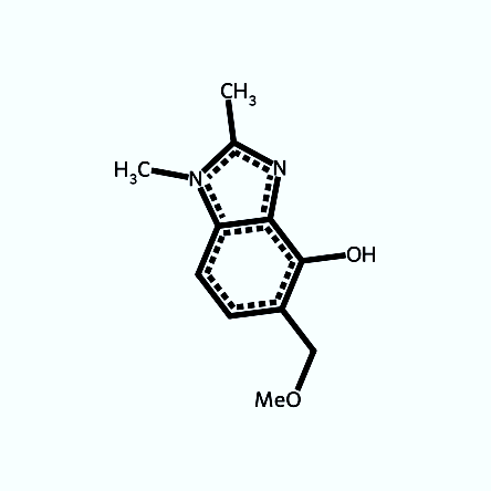 COCc1ccc2c(nc(C)n2C)c1O